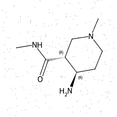 CNC(=O)[C@@H]1CN(C)CC[C@H]1N